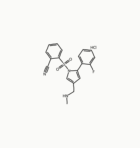 CNCc1cc(-c2ccccc2F)n(S(=O)(=O)c2ccccc2C#N)c1.Cl